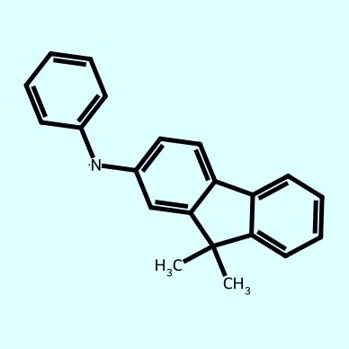 CC1(C)c2ccccc2-c2ccc([N]c3ccccc3)cc21